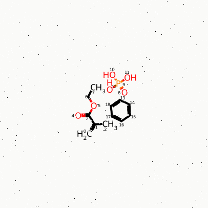 C=C(C)C(=O)OCC.O=P(O)(O)O.c1ccccc1